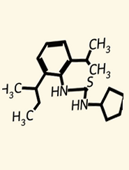 CCC(C)c1cccc(C(C)C)c1NC(=S)NC1CCCC1